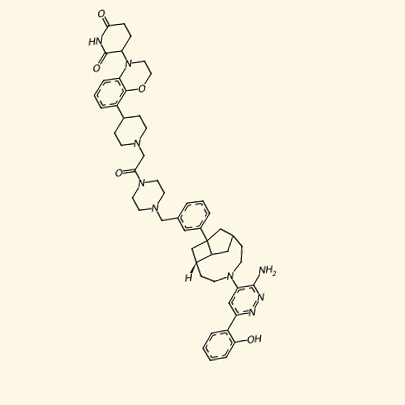 Nc1nnc(-c2ccccc2O)cc1N1CCC2CC3[C@H](CC1)CC3(c1cccc(CN3CCN(C(=O)CN4CCC(c5cccc6c5OCCN6C5CCC(=O)NC5=O)CC4)CC3)c1)C2